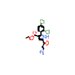 CCOC(=O)c1cc(C(=O)C=CN(C)C)[nH]c1-c1ccc(Cl)cc1Cl